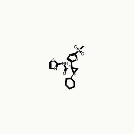 CS(=O)(=O)c1ccc([C@@]2(C(=O)Nc3nccs3)C[C@H]2C2CCCCC2)s1